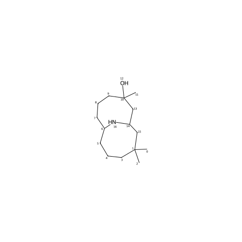 CC1(C)CCCC2CCCC(C)(O)CC(C1)N2